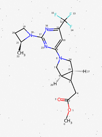 COC(=O)CC1[C@H]2CN(c3cc(C(F)(F)F)nc(N4CC[C@@H]4C)n3)C[C@@H]12